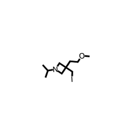 COCCC1(CI)CN(C(C)C)C1